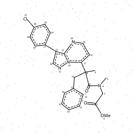 COC(=O)CN(C)C(=O)C(C)(Cc1ccccc1)c1ccnc2c(-c3ccc(Cl)cc3)cnn12